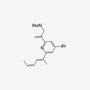 C=C(CNC)c1cc(C(C)C)cc(/C(C)=C/C=C\C)n1